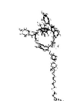 COCCOCCOCCOC[C@]1(F)CC[C@H](c2nccc(COc3ccc4cc3C[C@H](C(=O)O)Oc3ncnc5sc(-c6ccc(F)cc6)c(c35)-c3c(C)c(Cl)c(c(Cl)c3C)O[C@H](CN3CCN(C)CC3)CO4)n2)CC1